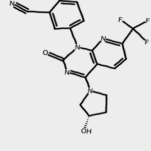 N#Cc1cccc(-n2c(=O)nc(N3CC[C@H](O)C3)c3ccc(C(F)(F)F)nc32)c1